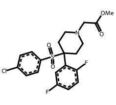 COC(=O)CN1CCC(c2cc(F)ccc2F)(S(=O)(=O)c2ccc(Cl)cc2)CC1